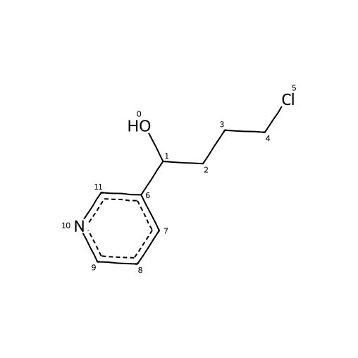 OC(CCCCl)c1cccnc1